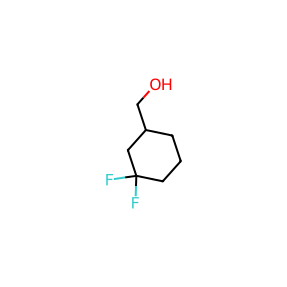 OCC1CCCC(F)(F)C1